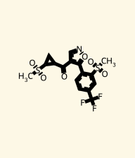 CS(=O)(=O)c1cc(C(F)(F)F)ccc1-c1oncc1C(=O)C1CC1S(C)(=O)=O